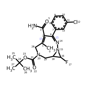 C/C1=C(C(N)=O)\C(c2cccc(Cl)c2)=N/N2C(F)C2CN(C(=O)OC(C)(C)C)C1